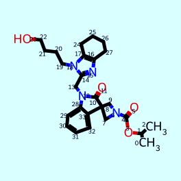 CC(C)OC(=O)N1CC2(C1)C(=O)N(Cc1nc3c(n1CCCCO)CCCC3)c1ccccc12